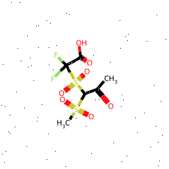 CC(=O)C(S(C)(=O)=O)S(=O)(=O)C(F)(F)C(=O)O